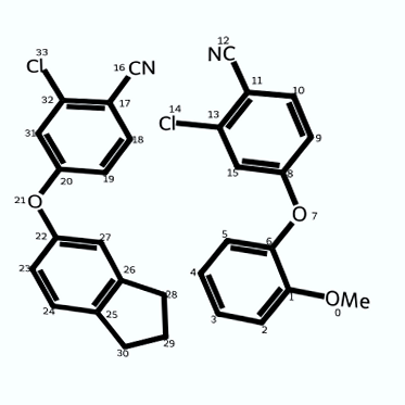 COc1ccccc1Oc1ccc(C#N)c(Cl)c1.N#Cc1ccc(Oc2ccc3c(c2)CCC3)cc1Cl